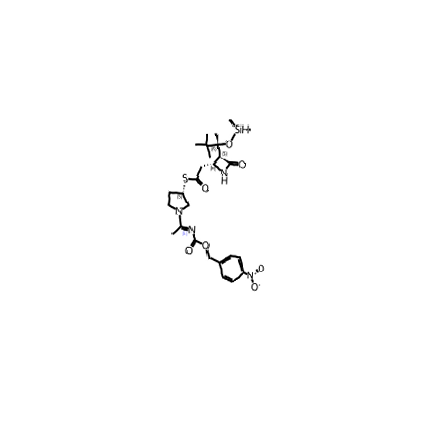 C/C(=N\C(=O)OCc1ccc([N+](=O)[O-])cc1)N1CC[C@H](SC(=O)C[C@H]2NC(=O)[C@@H]2[C@@](C)(O[SiH](C)C)C(C)(C)C)C1